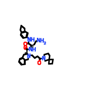 NCC[C@H](NC(=O)[C@@H]1Cc2ccccc2CN1CCCC(=O)N1CCCC2(CCC2)C1)C(=O)Nc1ccc2c(c1)CCC2